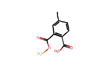 Cc1ccc(C(=O)O)c(C(=O)OP)c1